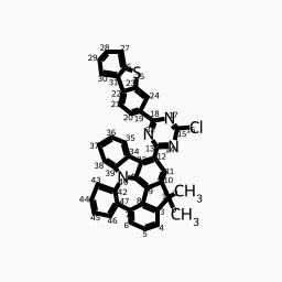 CC1(C)c2cccc3c2-c2c1cc(-c1nc(Cl)nc(-c4ccc5c(c4)sc4ccccc45)n1)c1c4ccccc4n(c21)-c1ccccc1-3